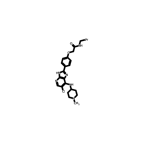 CC(C)CNC(=O)COc1ccc(-c2nc3c(NC4CCN(C)CC4)c(Cl)cnc3[nH]2)cc1